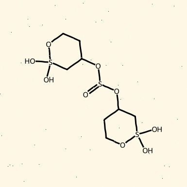 O=S(OC1CCOS(O)(O)C1)OC1CCOS(O)(O)C1